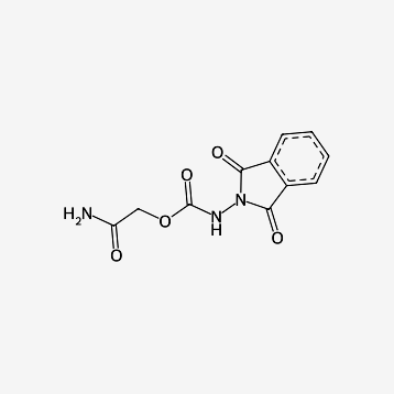 NC(=O)COC(=O)NN1C(=O)c2ccccc2C1=O